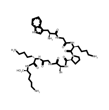 CC(C)[C@H](NC(=O)[C@@H]1CCCN1C(=O)[C@H](CCCCN)NC(=O)CNC(=O)[C@@H](N)Cc1c[nH]c2ccccc12)C(=O)NCC(=O)N[C@@H](CCCCN)C(=O)N[C@@H](CCCCN)C(=O)O